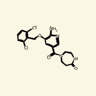 Nc1ncc(C(=O)N2CCNC(=O)CC2)cc1OCc1c(Cl)cccc1Cl